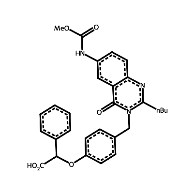 CCCCc1nc2ccc(NC(=O)OC)cc2c(=O)n1Cc1ccc(OC(C(=O)O)c2ccccc2)cc1